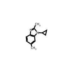 Cc1ccc2nc(C)n(C3CC3)c2c1